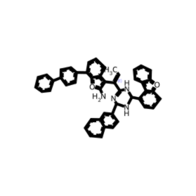 C/C=C(/C1=NC(c2ccc3ccccc3c2)NC(c2cccc3oc4ccccc4c23)N1)c1c(N)oc2c(-c3ccc(-c4ccccc4)cc3)cccc12